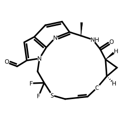 C[C@H]1NC(=O)[C@@H]2C[C@H]2C/C=C\CSC(F)(F)Cn2c(C=O)cc3ccc1nc32